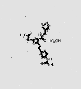 CC(=O)Nc1nc(CCc2ccc(NC(=N)N)cc2)c(C(=O)NCc2ccncc2)s1.Cl.Cl